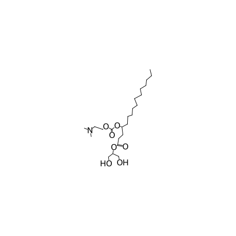 CCCCCCCCCCCCC(CCC(=O)OC(CO)CO)OC(=O)OCCN(C)C